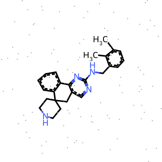 Cc1cccc(CNc2ncc3c(n2)-c2ccccc2C2(CCNCC2)C3)c1C